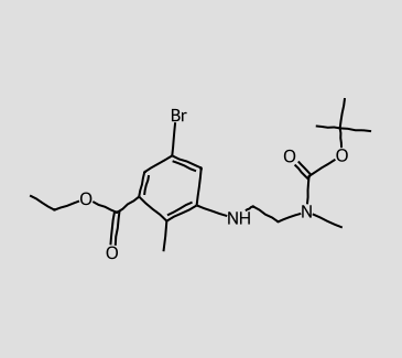 CCOC(=O)c1cc(Br)cc(NCCN(C)C(=O)OC(C)(C)C)c1C